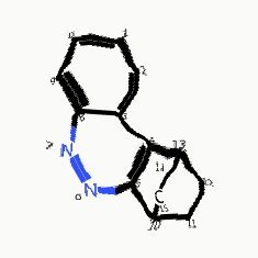 c1ccc2c3c(nnc2c1)C1CCC3CC1